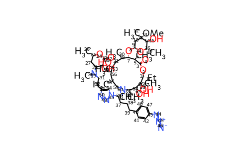 CC[C@H]1OC(=O)[C@H](C)[C@@H](OC2C[C@@](C)(OC)[C@@H](O)[C@H](C)O2)[C@H](C)[C@@H](O[C@@H]2O[C@H](C)C[C@H](N(C)CCc3cn(CCCCc4ccc(N=[N+]=[N-])cc4)nn3)[C@H]2O)[C@](C)(O)C[C@@H](C)CN(C)[C@H](C)[C@@H](O)[C@]1(C)O